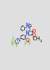 COc1cn(-c2ccc(N3CC(F)(F)C(F)(F)C3)cc2OC(F)F)nc(-c2ccnn2-c2ccccc2)c1=O